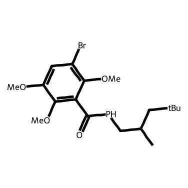 COc1cc(Br)c(OC)c(C(=O)PCC(C)CC(C)(C)C)c1OC